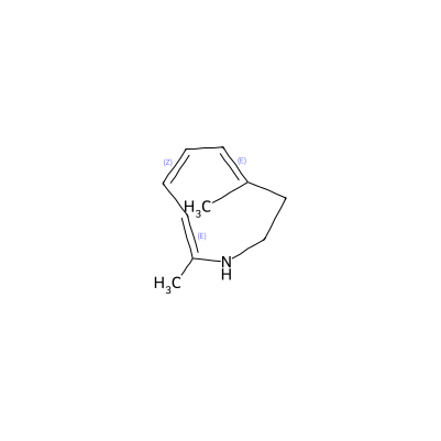 C\C1=C/C=C\C=C(/C)NCC1